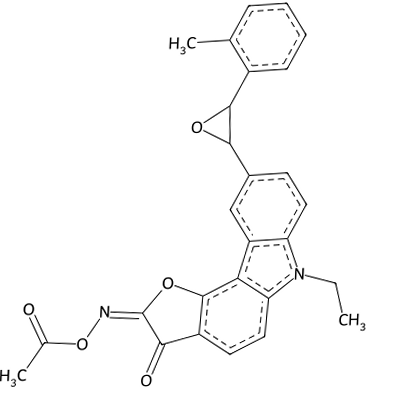 CCn1c2ccc(C3OC3c3ccccc3C)cc2c2c3c(ccc21)C(=O)/C(=N\OC(C)=O)O3